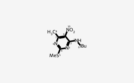 CCC(C)Nc1nc(SC)nc(C)c1[N+](=O)[O-]